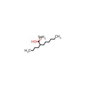 CCCCCCC(CCCC)C(=O)O.[SnH2]